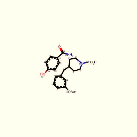 COc1cccc(CC2CCN(C(=O)O)CC2)c1.NC(=O)c1ccc(O)cc1